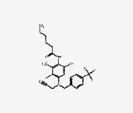 C#CCN(Cc1ccc(C(F)(F)F)cc1)c1cc(C)c(NC(=O)CCCCC)c(C)c1F